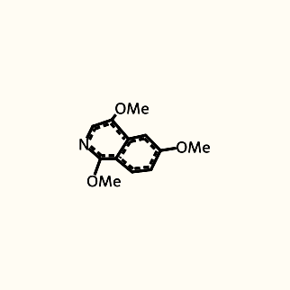 COc1ccc2c(OC)ncc(OC)c2c1